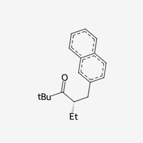 CC[C@@H](Cc1ccc2ccccc2c1)C(=O)C(C)(C)C